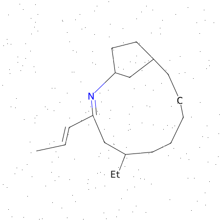 C/C=C/C1=N/C2CCC(CCCCCC(CC)C1)C2